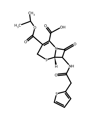 CC(C)OC(=O)C1=C(C(=O)O)N2C(=O)C(NC(=O)Cc3cccs3)[C@@H]2SC1